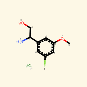 COc1cc(F)cc(C(N)CO)c1.Cl